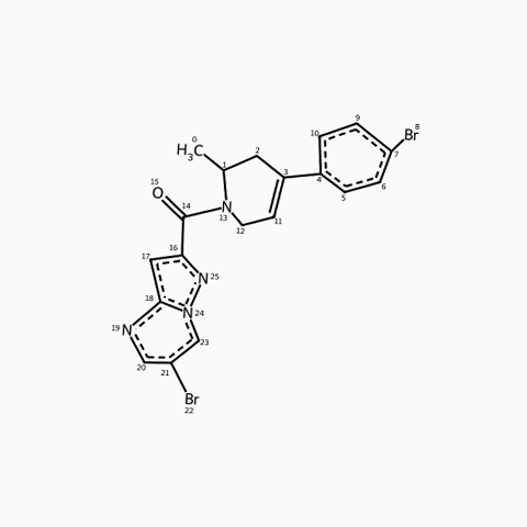 CC1CC(c2ccc(Br)cc2)=CCN1C(=O)c1cc2ncc(Br)cn2n1